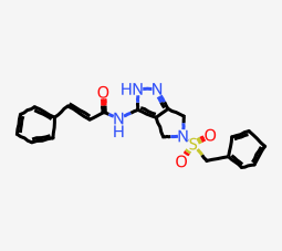 O=C(C=Cc1ccccc1)Nc1[nH]nc2c1CN(S(=O)(=O)Cc1ccccc1)C2